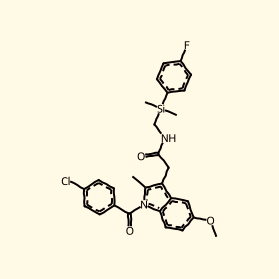 COc1ccc2c(c1)c(CC(=O)NC[Si](C)(C)c1ccc(F)cc1)c(C)n2C(=O)c1ccc(Cl)cc1